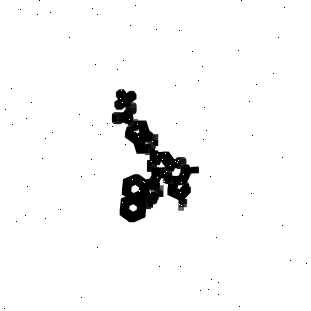 C[C@H](Oc1cc(-n2cc3c(n2)CN(C(=O)OC(C)(C)C)C3)nc(-c2noc3c2CCC[C@@]32CCCCC2=O)n1)[C@@H]1C[C@@H](F)CN1C